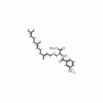 COC(=O)[C@H](CSC/C=C(\C)CC/C=C(\C)CCC=C(C)C)NC(=O)c1cccc([N+](=O)[O-])c1